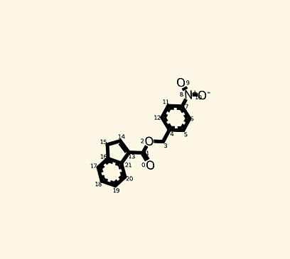 O=C(OCc1ccc([N+](=O)[O-])cc1)C1=CCc2ccccc21